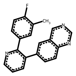 Cc1cc(-c2ncccc2-c2ccc3ncncc3c2)ccc1F